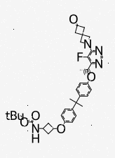 C[C@@H](Oc1ccc(C(C)(C)c2ccc(OC3CC(NC(=O)OC(C)(C)C)C3)cc2)cc1)c1ncnc(N2CC3(CC(=O)C3)C2)c1F